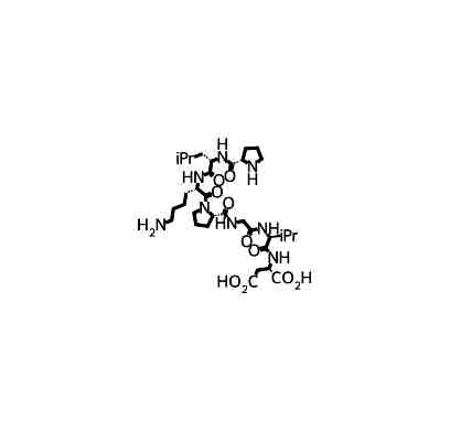 CC(C)C[C@H](NC(=O)[C@@H]1CCCN1)C(=O)N[C@@H](CCCCN)C(=O)N1CCC[C@H]1C(=O)NCC(=O)N[C@H](C(=O)N[C@@H](CC(=O)O)C(=O)O)C(C)C